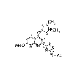 COc1ccc2c(OC3CC(C)N(C)C3)cc(-c3csc(NC(C)=O)n3)nc2c1